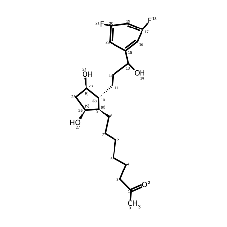 CC(=O)CCCCCC[C@@H]1[C@@H](CCC(O)c2cc(F)cc(F)c2)[C@H](O)C[C@@H]1O